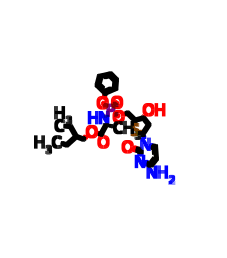 CCC(CC)COC(=O)[C@H](C)N[P@](=O)(OCC1SC(n2ccc(N)nc2=O)CC1O)Oc1ccccc1